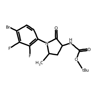 CC1CC(NC(=O)OC(C)(C)C)C(=O)N1c1ccc(Br)c(F)c1F